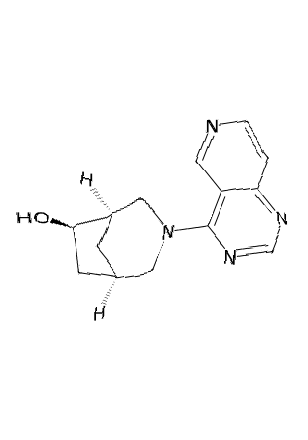 O[C@@H]1C[C@H]2C[C@@H]1CN(c1ncnc3ccncc13)C2